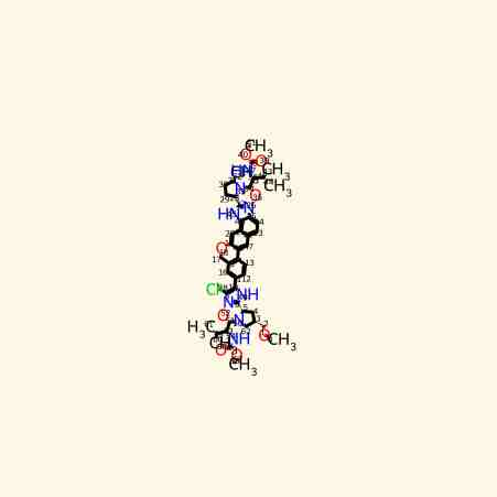 COC[C@H]1C[C@@H](c2nc(Cl)c(-c3ccc4c(c3)COc3cc5c(ccc6nc([C@@H]7CC[C@H](C)N7C(=O)[C@@H](NC(=O)OC)C(C)C)[nH]c65)cc3-4)[nH]2)N(C(=O)[C@@H](NC(=O)OC)C(C)C)C1